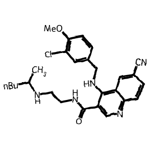 CCCCC(C)NCCNC(=O)c1cnc2ccc(C#N)cc2c1NCc1ccc(OC)c(Cl)c1